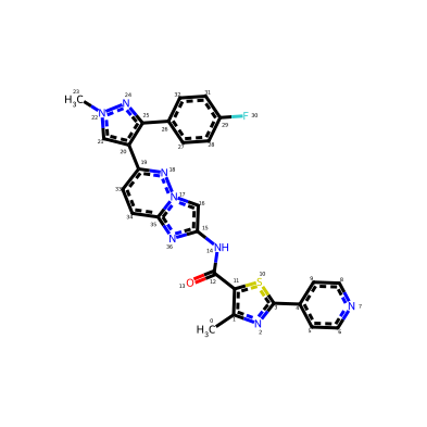 Cc1nc(-c2ccncc2)sc1C(=O)Nc1cn2nc(-c3cn(C)nc3-c3ccc(F)cc3)ccc2n1